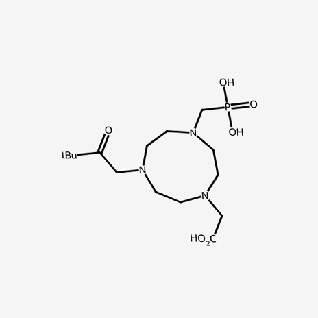 CC(C)(C)C(=O)CN1CCN(CC(=O)O)CCN(CP(=O)(O)O)CC1